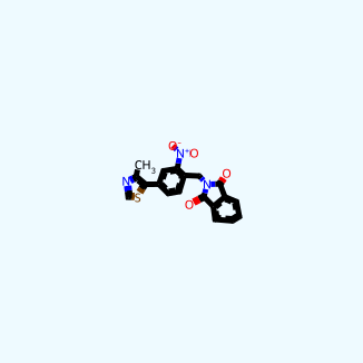 Cc1ncsc1-c1ccc(CN2C(=O)c3ccccc3C2=O)c([N+](=O)[O-])c1